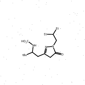 CCC(CC)CN1N=C(CC(NC(=O)O)C(C)(C)C)CC1=O